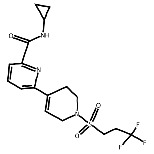 O=C(NC1CC1)c1cccc(C2=CCN(S(=O)(=O)CCC(F)(F)F)CC2)n1